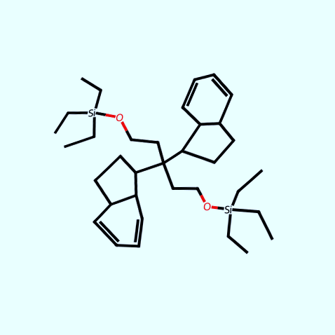 CC[Si](CC)(CC)OCCC(CCO[Si](CC)(CC)CC)(C1CCC2C=CC=CC21)C1CCC2C=CC=CC21